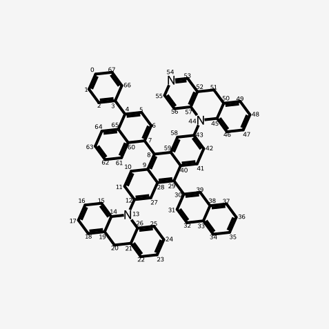 c1ccc(-c2ccc(-c3c4ccc(N5c6ccccc6Cc6ccccc65)cc4c(-c4ccc5ccccc5c4)c4ccc(N5c6ccccc6Cc6cnccc65)cc34)c3ccccc23)cc1